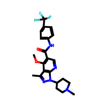 COc1c(C(=O)Nc2ccc(C(F)(F)F)cc2)cnc2c1c(C)nn2C1CCN(C)CC1